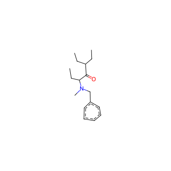 CCC(CC)C(=O)C(CC)N(C)Cc1ccccc1